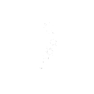 O=C(Nc1ccn(-c2ccc(CN3CC4(CCNCC4)C3)cc2)c(=O)n1)N1CCNCC1